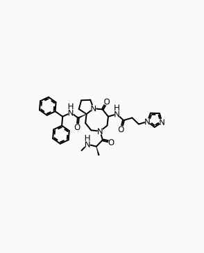 CN[C@H](C)C(=O)N1CC[C@]2(C(=O)NC(c3ccccc3)c3ccccc3)CCCN2C(=O)C(NC(=O)CCn2ccnc2)C1